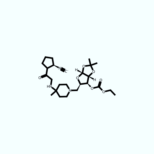 [C-]#[N+][C@@H]1CCCC1C(=O)CNC1(C)CCN(C[C@H]2O[C@@H]3OC(C)(C)O[C@@H]3[C@H]2OC(=O)OCC)CC1